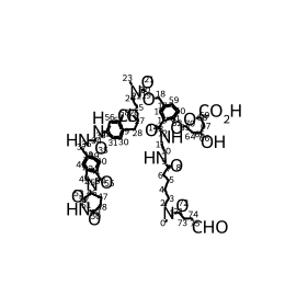 CN(CCCCCC(=O)NCCNC(=O)c1cc(COC(=O)N(C)CCOCCc2ccc(NC(=O)NCc3ccc4c(c3)CN(C3CCC(=O)NC3=O)C4=O)cc2Cl)ccc1OC1CC(O)CC(C(=O)O)O1)C(=O)CCC=O